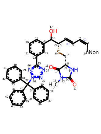 CCCCCCCCC/C=C\C=C\[C@H](SC[C@@H]1NC(=O)N(C)C1=O)C(O)c1cccc(-c2nnn(C(c3ccccc3)(c3ccccc3)c3ccccc3)n2)c1